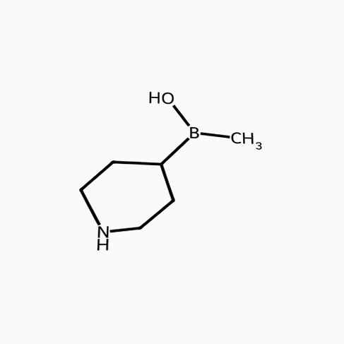 CB(O)C1CCNCC1